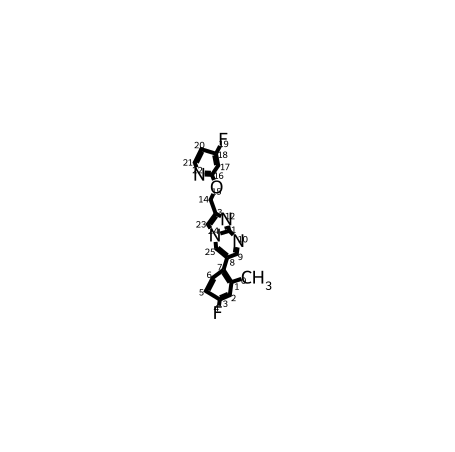 Cc1cc(F)ccc1-c1cnc2nc(COc3cc(F)ccn3)cn2c1